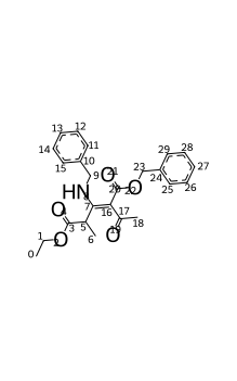 CCOC(=O)C(C)C(NCc1ccccc1)=C(C(C)=O)C(=O)OCc1ccccc1